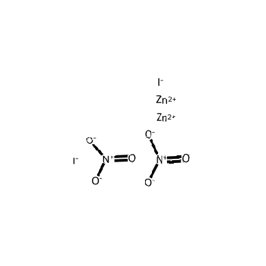 O=[N+]([O-])[O-].O=[N+]([O-])[O-].[I-].[I-].[Zn+2].[Zn+2]